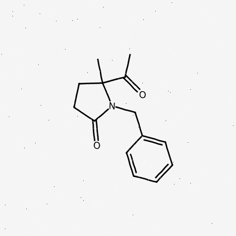 CC(=O)C1(C)CCC(=O)N1Cc1ccccc1